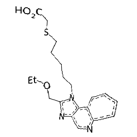 CCOCc1nc2cnc3ccccc3c2n1CCCCCSCC(=O)O